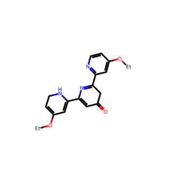 CCOC1=CCNC(C2=CC(=O)CC(c3cc(OCC)ccn3)=N2)=C1